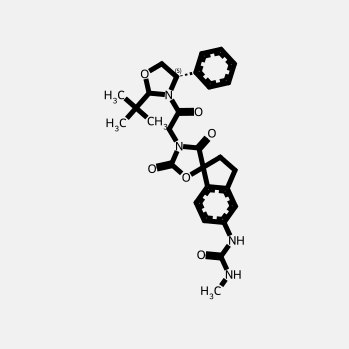 CNC(=O)Nc1ccc2c(c1)CCC21OC(=O)N(CC(=O)N2C(C(C)(C)C)OC[C@@H]2c2ccccc2)C1=O